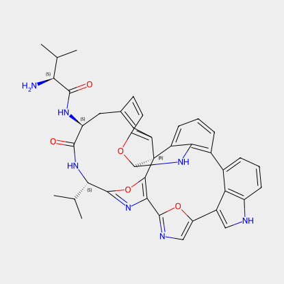 CC(C)[C@H](N)C(=O)N[C@H]1Cc2ccc3c(c2)[C@]24c5cccc(c5NC2O3)-c2cccc3[nH]cc(c23)-c2cnc(o2)-c2nc(oc24)[C@H](C(C)C)NC1=O